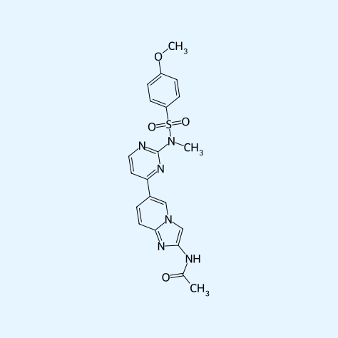 COc1ccc(S(=O)(=O)N(C)c2nccc(-c3ccc4nc(NC(C)=O)cn4c3)n2)cc1